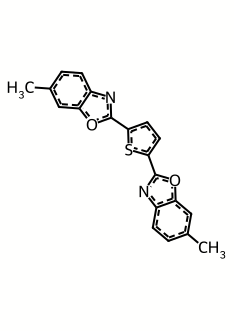 Cc1ccc2nc(-c3ccc(-c4nc5ccc(C)cc5o4)s3)oc2c1